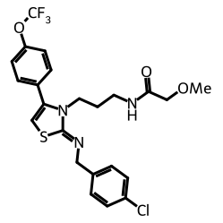 COCC(=O)NCCCn1c(-c2ccc(OC(F)(F)F)cc2)csc1=NCc1ccc(Cl)cc1